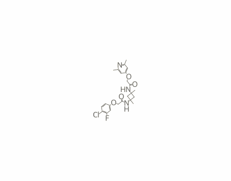 Cc1cc(OCC(=O)NC2(C)CC(C)(NC(=O)COc3ccc(Cl)c(F)c3)C2)cc(C)n1